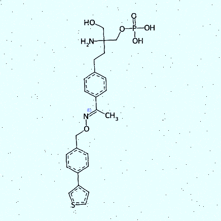 C/C(=N\OCc1ccc(-c2ccsc2)cc1)c1ccc(CCC(N)(CO)COP(=O)(O)O)cc1